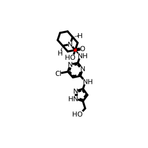 O=C(O)N1[C@@H]2CCC[C@H]1C[C@@H](Nc1nc(Cl)cc(Nc3cc(CO)[nH]n3)n1)C2